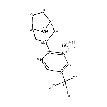 Cl.Cl.FC(F)(F)c1cnc(N2CC3CCC(C2)N3)nc1